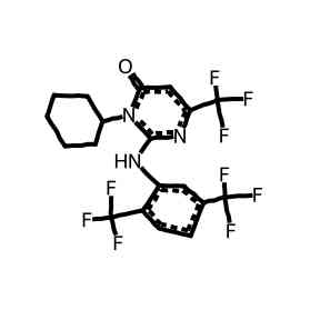 O=c1cc(C(F)(F)F)nc(Nc2cc(C(F)(F)F)ccc2C(F)(F)F)n1C1CCCCC1